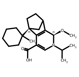 CO[C@@H]1C2=C(C(C(=O)O)=CN1C(C)C)[C@]1(C3(C)CCCCC3)CCC2C1